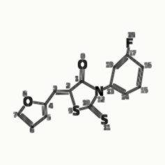 O=C1C(=Cc2ccco2)SC(=S)N1c1cccc(F)c1